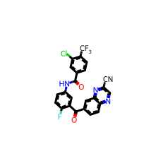 N#Cc1cnc2ccc(C(=O)c3cc(NC(=O)c4ccc(C(F)(F)F)c(Cl)c4)ccc3F)cc2n1